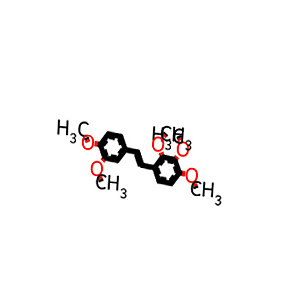 COc1ccc(C=Cc2ccc(OC)c(OC)c2OC)cc1OC